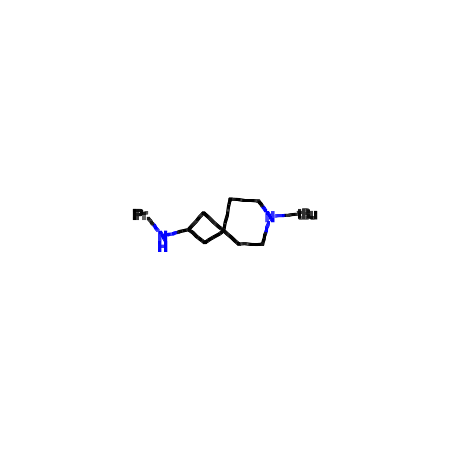 CC(C)NC1CC2(CCN(C(C)(C)C)CC2)C1